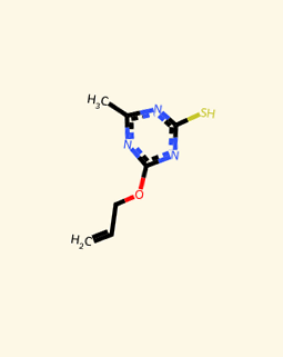 C=CCOc1nc(C)nc(S)n1